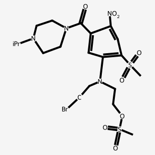 CC(C)N1CCN(C(=O)c2cc(N(CCBr)CCOS(C)(=O)=O)c(S(C)(=O)=O)cc2[N+](=O)[O-])CC1